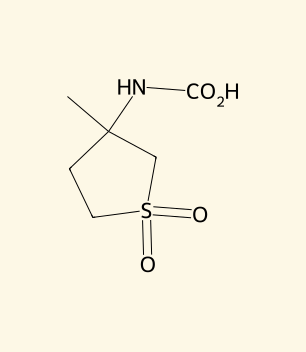 CC1(NC(=O)O)CCS(=O)(=O)C1